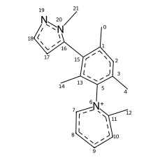 Cc1cc(C)c(-[n+]2ccccc2C)c(C)c1-c1ccnn1C